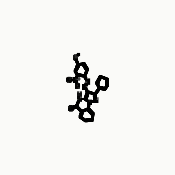 COc1ccc(/N=N/c2c(-c3ccccc3)nn3c2[nH]c(=O)c2ccccc23)c([N+](=O)[O-])c1